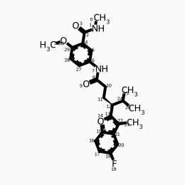 CNC(=O)c1cc(NC(=O)CC[C@H](c2oc3ccc(F)cc3c2C)C(C)C)ccc1OC